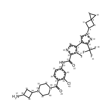 Cn1c(-c2cn(C3CC4(CC4)C3)nc2C(F)(F)F)cnc1C(=O)Nc1ccc(C(=O)N2CCN(C3CC(N)C3)CC2)c(Cl)c1